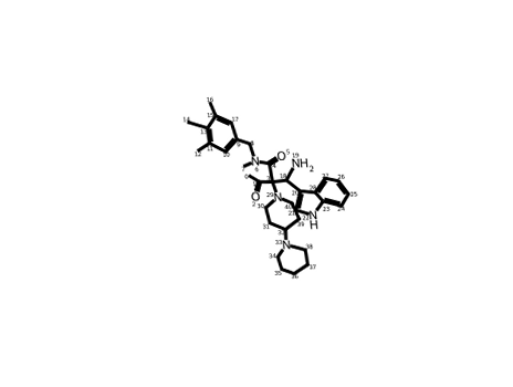 CC(=O)C(C(=O)N(C)Cc1cc(C)c(C)c(C)c1)(C(N)c1c[nH]c2ccccc12)N1CCC(N2CCCCC2)CC1